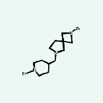 CCN1CCC(CN2CCC3(C2)CN(C(C)C)C3)CC1